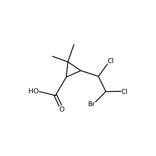 CC1(C)C(C(=O)O)C1C(Cl)C(Cl)Br